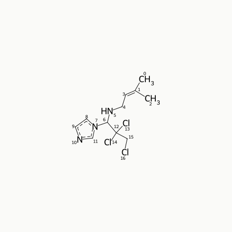 CC(C)=CCNC(n1ccnc1)C(Cl)(Cl)CCl